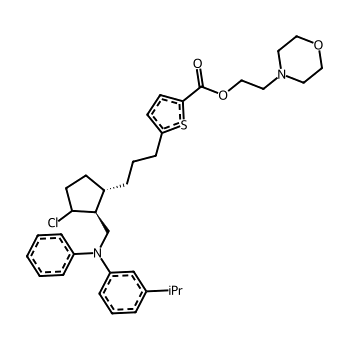 CC(C)c1cccc(N(C[C@H]2C(Cl)CC[C@@H]2CCCc2ccc(C(=O)OCCN3CCOCC3)s2)c2ccccc2)c1